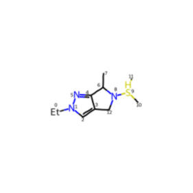 CCn1cc2c(n1)C(C)N([SH](C)C)C2